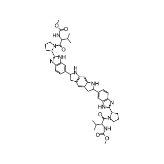 COC(=O)NC(C(=O)N1CCCC1c1nc2ccc(C3Cc4cc5c(cc4N3)NC(c3ccc4nc(C6CCCN6C(=O)C(NC(=O)OC)C(C)C)[nH]c4c3)C5)cc2[nH]1)C(C)C